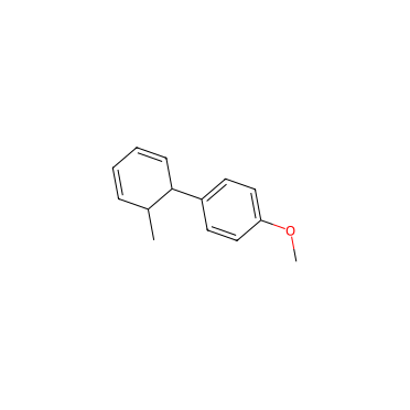 COc1ccc(C2C=CC=CC2C)cc1